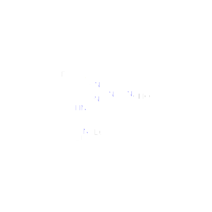 CCc1cc2c(NCCN(CC)CC)nc(N3CCN(C=O)CC3)nc2s1